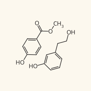 COC(=O)c1ccc(O)cc1.OCCc1cccc(O)c1